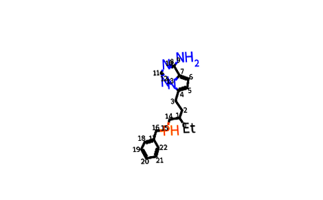 CCC(CCc1ccc2c(N)ncnn12)CPCc1ccccc1